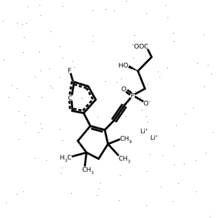 CC1(C)CC(c2ccc(F)cc2)=C(C#CP(=O)([O-])C[C@@H](O)CC(=O)[O-])C(C)(C)C1.[Li+].[Li+]